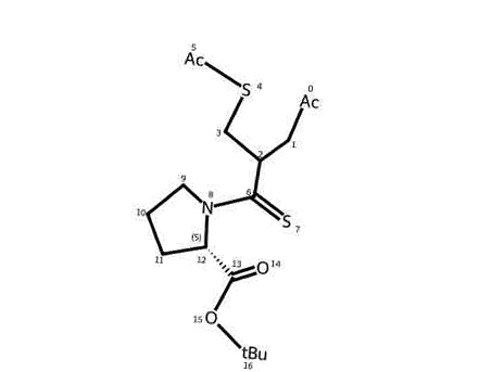 CC(=O)CC(CSC(C)=O)C(=S)N1CCC[C@H]1C(=O)OC(C)(C)C